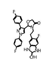 O=C1COC(c2cn(-c3ccc(F)cc3)nc2-c2ccc(F)cc2)N1CCc1cc2c(cc1F)NC(O)N2